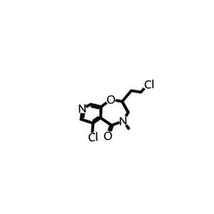 CN1CC(CCCl)Oc2cncc(Cl)c2C1=O